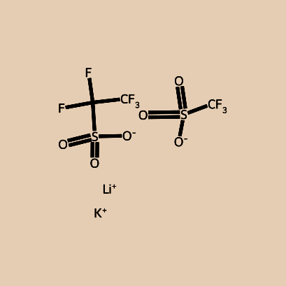 O=S(=O)([O-])C(F)(F)C(F)(F)F.O=S(=O)([O-])C(F)(F)F.[K+].[Li+]